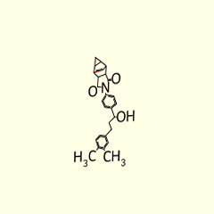 Cc1ccc(CCC(O)c2ccc(N3C(=O)C4C5C=CC(C6CC56)C4C3=O)cc2)cc1C